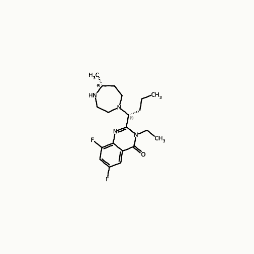 CCC[C@H](c1nc2c(F)cc(F)cc2c(=O)n1CC)N1CCN[C@H](C)CC1